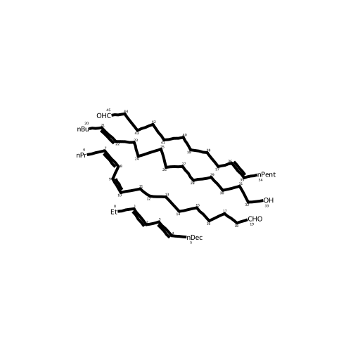 CC/C=C/C=C/CCCCCCCCCC.CCC/C=C\C=C/CCCCCCCCC=O.CCCC/C=C/CCCCCCCCCCO.CCCCCC=CCCCCCCCCC=O